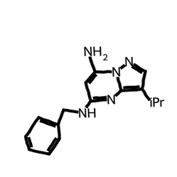 CC(C)c1cnn2c(N)cc(NCc3ccccc3)nc12